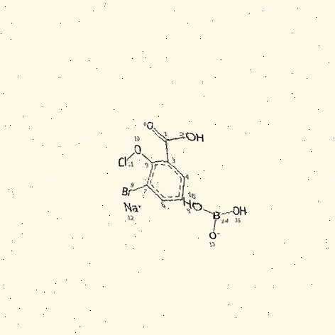 O=C(O)c1cccc(Br)c1OCl.[Na+].[O-]B(O)O